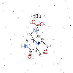 CC(C)(C)OC(=O)N1CC2(CNC(=O)C3COCCN32)C1